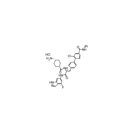 CC(C)NC(=O)c1ccc(-c2ccc(C[C@H](NC(=O)[C@H]3CC[C@H](CN)CC3)C(=O)Nc3cc(F)c4cn[nH]c4c3)cc2)c(Cl)c1.Cl